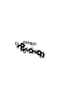 CCC(=O)c1cc(OC)cc2c1ccc(=O)n2CCN1CCC(NCc2ccc3c(c2)OCCO3)CC1.Cl